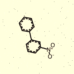 O=[N+]([O-])c1cccc(-c2cc[c]cc2)c1